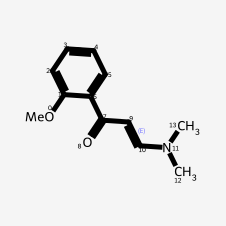 COc1ccccc1C(=O)/C=C/N(C)C